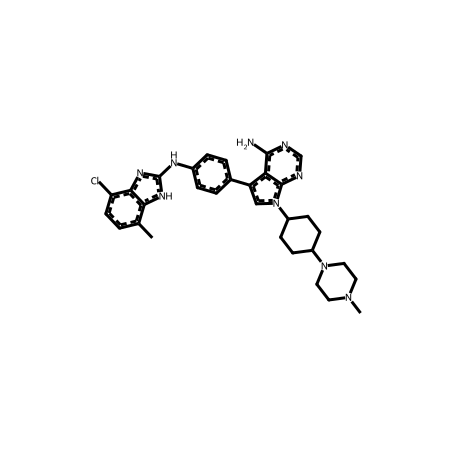 Cc1ccc(Cl)c2nc(Nc3ccc(-c4cn(C5CCC(N6CCN(C)CC6)CC5)c5ncnc(N)c45)cc3)[nH]c12